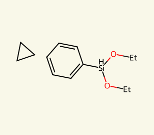 C1CC1.CCO[SiH](OCC)c1ccccc1